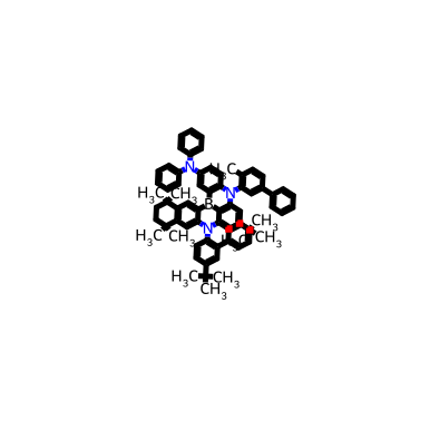 Cc1ccc(-c2ccccc2)cc1N1c2ccc(N(c3ccccc3)c3ccccc3)cc2B2c3cc4c(cc3N(c3ccc(C(C)(C)C)cc3-c3ccccc3)c3cc(C(C)(C)C)cc1c32)C(C)(C)CCC4(C)C